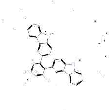 CCn1c2ccccc2c2cc(-c3[c]ccc([N+](=O)[O-])c3-c3ccc4c(c3)c3ccccc3n4CC)ccc21